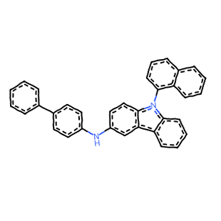 c1ccc(-c2ccc(Nc3ccc4c(c3)c3ccccc3n4-c3cccc4ccccc34)cc2)cc1